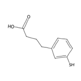 O=C(O)CCCc1cccc(S)c1